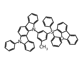 Cc1cc(-n2c3ccccc3c3ccc4c(c5ccccc5n4-c4ccccc4)c32)cc([Si](c2ccccc2)(c2ccccc2)c2cccc3c2oc2ccccc23)c1